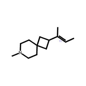 C/C=C(\C)C1CC2(CCN(C)CC2)C1